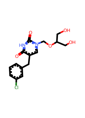 O=c1[nH]c(=O)n(COC(CO)CO)cc1Cc1cccc(Cl)c1